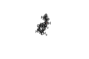 Cc1nc(Nc2ncc(C(=O)Nc3c(C)cccc3Cl)s2)cc(N2CCC(CN3CC[C@](O)(c4ccc5c(c4)CN(C4CCC(=O)NC4=O)C5=O)[C@@H](O)C3)CC2)n1